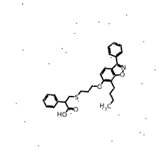 CCCCc1c(OCCCSCC(C(=O)O)c2ccccc2)ccc2c(-c3ccccc3)noc12